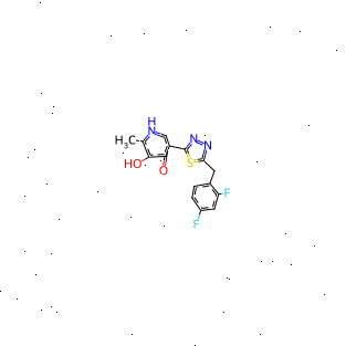 Cc1[nH]cc(-c2nnc(Cc3ccc(F)cc3F)s2)c(=O)c1O